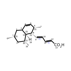 C[C@@H]1CC2C=C[C@H](C)[C@H](/C=C/C=C/C(=O)O)[C@H]2[C@H](C)C1